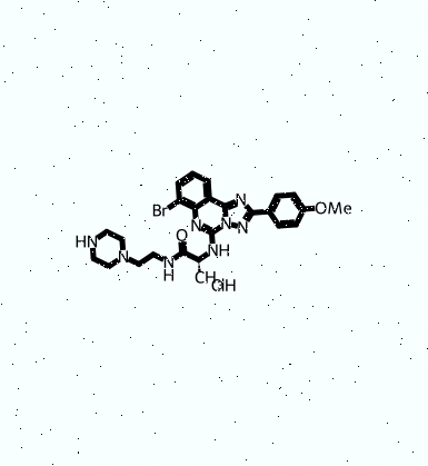 COc1ccc(-c2nc3c4cccc(Br)c4nc(N[C@H](C)C(=O)NCCN4CCNCC4)n3n2)cc1.Cl